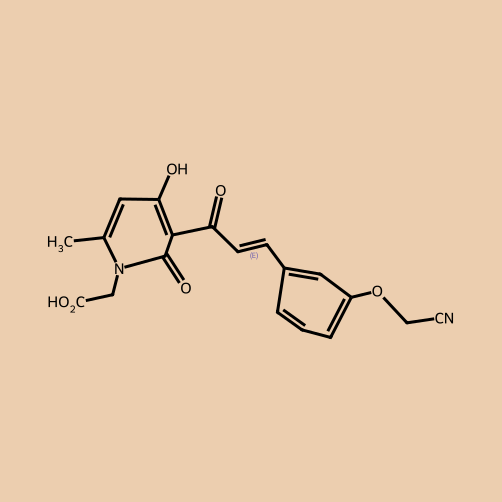 Cc1cc(O)c(C(=O)/C=C/c2cccc(OCC#N)c2)c(=O)n1CC(=O)O